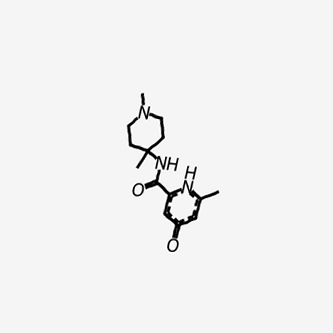 Cc1cc(=O)cc(C(=O)NC2(C)CCN(C)CC2)[nH]1